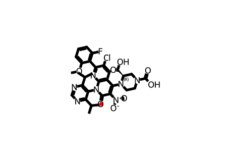 COc1cccc(F)c1-c1nc2c(cc1Cl)c(N1CCN(C(=O)O)C[C@@H]1C(=O)O)c([N+](=O)[O-])c(=O)n2-c1c(C(C)C)ncnc1C(C)C